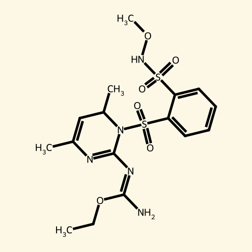 CCOC(N)=NC1=NC(C)=CC(C)N1S(=O)(=O)c1ccccc1S(=O)(=O)NOC